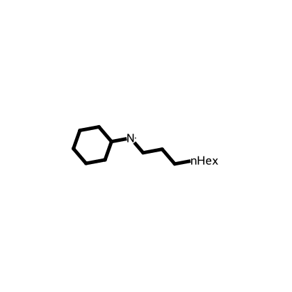 CCCCCCCCC[N]C1CCCCC1